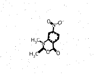 C=C1OC(=O)c2ccc([N+](=O)[O-])cc2N1C